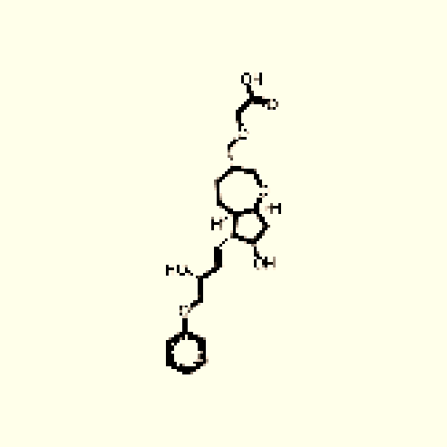 O=C(O)COC[C@H]1CC[C@@H]2[C@@H](/C=C/[C@@H](O)COc3ccccc3)[C@H](O)C[C@@H]2OC1